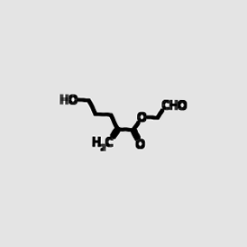 C=C(CCCO)C(=O)OCC=O